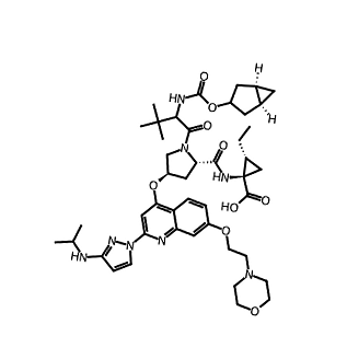 CC[C@@H]1C[C@]1(NC(=O)[C@@H]1C[C@@H](Oc2cc(-n3ccc(NC(C)C)n3)nc3cc(OCCN4CCOCC4)ccc23)CN1C(=O)C(NC(=O)OC1C[C@@H]2C[C@@H]2C1)C(C)(C)C)C(=O)O